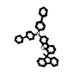 CC1(c2cccc3c2oc2cc(N(c4ccc(-c5ccccc5)cc4)c4ccc(-c5ccccc5)cc4)ccc23)c2ccccc2-c2ccccc21